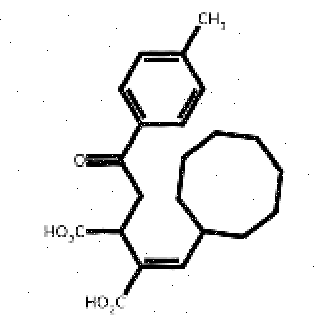 Cc1ccc(C(=O)CC(C(=O)O)C(=CC2CCCCCCC2)C(=O)O)cc1